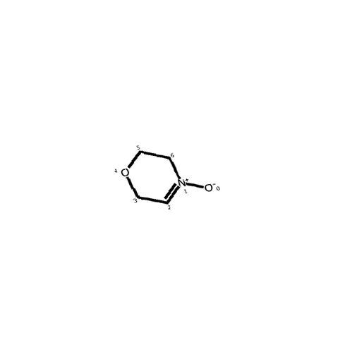 [O-][N+]1=CCOCC1